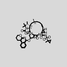 CC[C@@H]1C[C@@H](C)CCC=C[C@@H]2C[C@@]2(C(=O)NS(=O)(=O)C2(C)CC2)NC(=O)[C@@H]2C[C@@H](Oc3nc4c(c5ccccc35)CCCO4)CN2C(=O)[C@H]1N(C(=O)O)C(C)(C)C